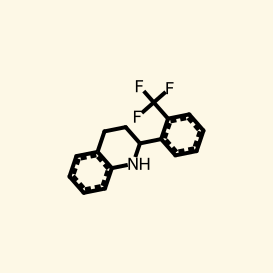 FC(F)(F)c1ccccc1C1CCc2ccccc2N1